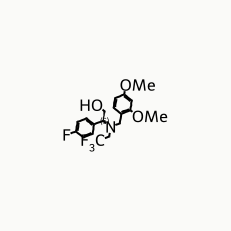 COc1ccc(CN(CC(F)(F)F)[C@H](CO)c2ccc(F)cc2)c(OC)c1